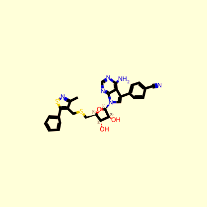 Cc1nsc(-c2ccccc2)c1CSC[C@H]1O[C@@H](n2cc(-c3ccc(C#N)cc3)c3c(N)ncnc32)[C@H](O)[C@@H]1O